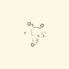 CN1/C(=C\C=C\C2=[N+](CCCCCC(=O)NCCOc3ccccc3CC3CC4(C3)CN(C(=O)N3CC[C@@H]5OCC(=O)N[C@@H]5C3)C4)c3ccccc3C2(C)C)C(C)(C)c2ccccc21.O=C([O-])C(F)(F)F